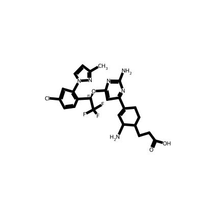 Cc1ccn(-c2cc(Cl)ccc2[C@@H](Oc2cc(C3=CC(N)C(CCC(=O)O)CC3)nc(N)n2)C(F)(F)F)n1